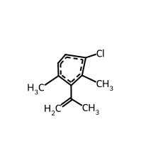 C=C(C)c1c(C)ccc(Cl)c1C